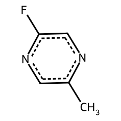 Cc1cnc(F)cn1